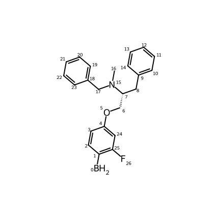 Bc1ccc(OC[C@@H](Cc2ccccc2)N(C)Cc2ccccc2)cc1F